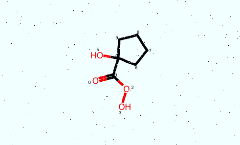 O=C(OO)C1(O)CCCC1